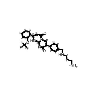 NCCCNCc1ccc(-c2cn3c(=O)cc(-c4ccccc4OC(F)(F)F)[nH]c3nc2=O)cc1